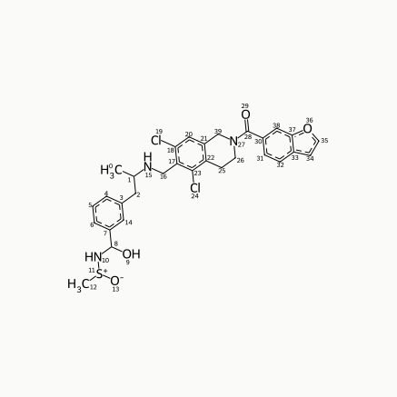 CC(Cc1cccc(C(O)N[S+](C)[O-])c1)NCc1c(Cl)cc2c(c1Cl)CCN(C(=O)c1ccc3ccoc3c1)C2